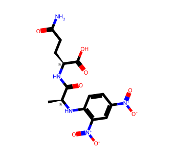 C[C@H](Nc1ccc([N+](=O)[O-])cc1[N+](=O)[O-])C(=O)N[C@@H](CCC(N)=O)C(=O)O